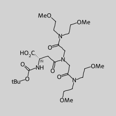 COCCN(CCOC)C(=O)CN(CC(=O)N(CCOC)CCOC)C(=O)C[C@H](NC(=O)OC(C)(C)C)C(=O)O